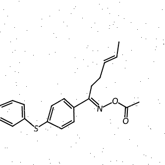 C/C=C/CC/C(=N\OC(C)=O)c1ccc(Sc2ccccc2)cc1